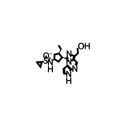 CC[C@@H]1C[C@H](N[S+]([O-])C2CC2)C[C@@H]1c1nc(CCO)c2cnc3[nH]ccc3n12